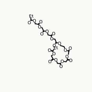 CCC(=O)OCC(=O)OCC(=O)OCC(=O)OCC(=O)OCCOC(=O)COC(=O)COC(=O)COC(=O)COC(=O)CC